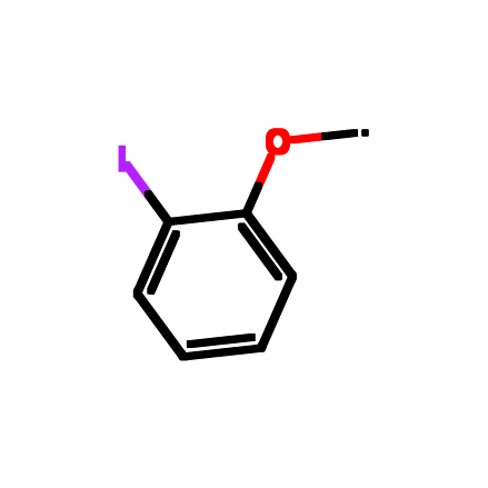 [CH2]Oc1ccccc1I